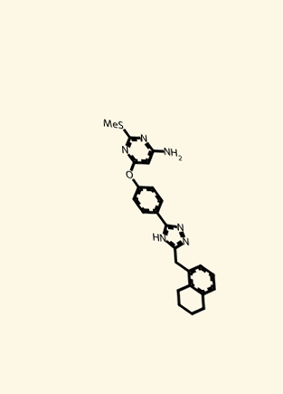 CSc1nc(N)cc(Oc2ccc(-c3nnc(Cc4cccc5c4CCCC5)[nH]3)cc2)n1